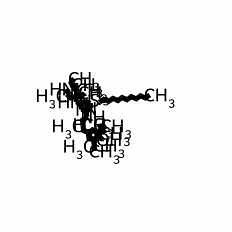 CCCCCCCCCCCCSc1nc(NCC(C)(C)Cc2cc(C(C)(C)C)c(O)c(C(C)(C)C)c2)nc(NC2(CC)CC(C)NC(C)(CC)C2C)n1